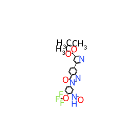 CC(C)(C)OC(=O)c1cncc(-c2ccc3c(=O)n(-c4ccc(OC(F)(F)F)c(NC=O)c4)cnc3c2)c1